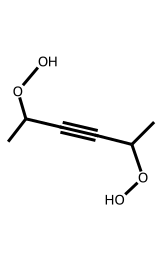 CC(C#CC(C)OO)OO